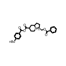 CCCCc1ccc(C(=O)OC(=O)C2CCN3C(CC[C@H]3COC(=O)c3ccccc3)C2)cc1